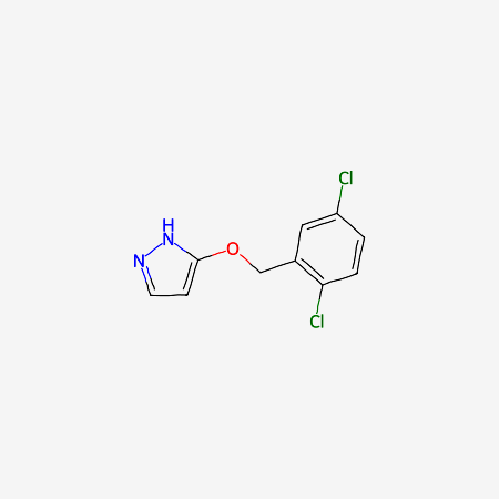 Clc1ccc(Cl)c(COc2ccn[nH]2)c1